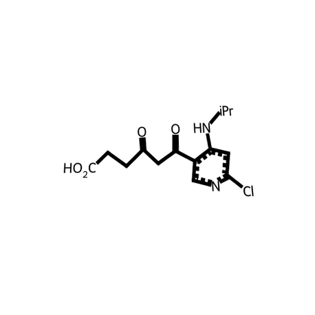 CC(C)Nc1cc(Cl)ncc1C(=O)CC(=O)CCC(=O)O